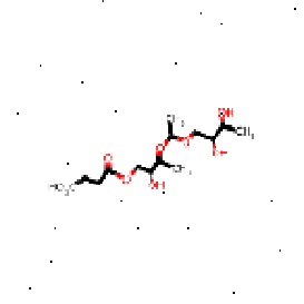 CC(OC[C@H](O)C(C)O)OC(C)[C@@H](O)COC(=O)CCC(=O)O